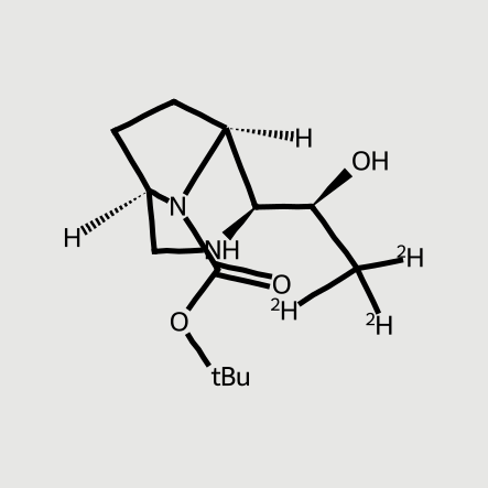 [2H]C([2H])([2H])[C@H](O)[C@H]1NC[C@H]2CC[C@@H]1N2C(=O)OC(C)(C)C